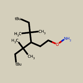 CC(C)(C)CC(C)(C)C(CCON)C(C)(C)CC(C)(C)C